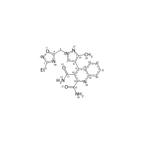 CCc1noc(Cn2cc(-c3c(C(N)=O)c(C(N)=O)nc4ccccc34)c(C)n2)n1